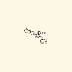 Cc1ccn2c(N3CCC4(CC3)Cc3cccnc3C4)ncc(Sc3ccnc4c3CCO4)c12